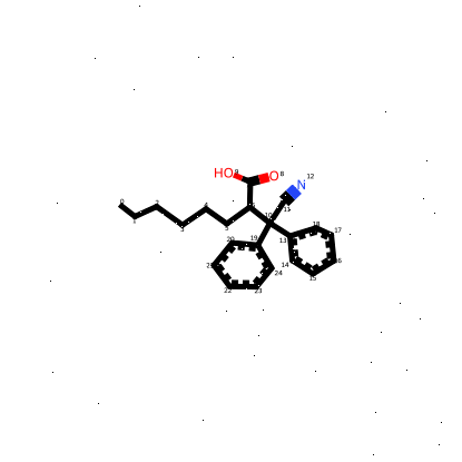 CCCCCCC(C(=O)O)C(C#N)(c1ccccc1)c1ccccc1